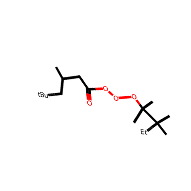 CCC(C)(C)C(C)(C)OOOC(=O)CC(C)CC(C)(C)C